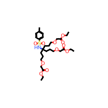 CCOC(=O)COCCCC(CCCOCC(=O)OCC)(CCCOCC(=O)OCC)NS(=O)(=O)c1ccc(C)cc1